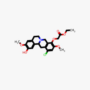 CCOC(=O)COc1c(OC)cc(Cl)c2c1CN1CCc3cc(OC)c(O)cc3C1C2